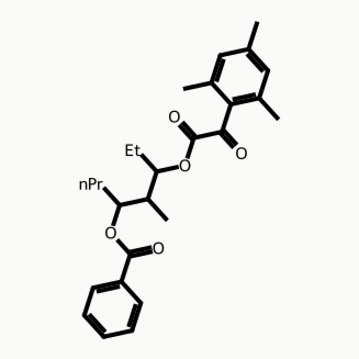 CCCC(OC(=O)c1ccccc1)C(C)C(CC)OC(=O)C(=O)c1c(C)cc(C)cc1C